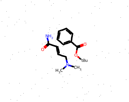 CC(C)(C)OC(=O)c1ccccc1.CN(C)C/C=C/C(N)=O